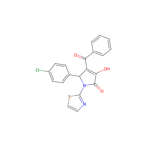 O=C(C1=C(O)C(=O)N(c2nccs2)C1c1ccc(Cl)cc1)c1ccccc1